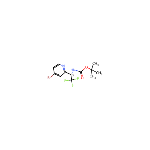 CC(C)(C)OC(=O)N[C@@H](c1cc(Br)ccn1)C(F)(F)F